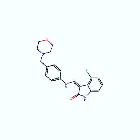 O=C1Nc2cccc(F)c2/C1=C/Nc1ccc(CN2CCOCC2)cc1